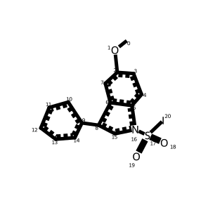 COc1ccc2c(c1)c(-c1ccccc1)cn2S(=O)(=O)I